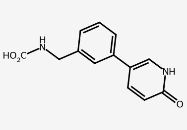 O=C(O)NCc1cccc(-c2ccc(=O)[nH]c2)c1